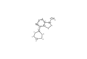 CN1CCc2c1ccnc2N1CCOCC1